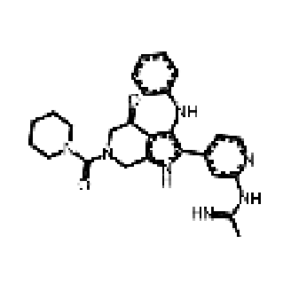 CC(=N)Nc1cc(-c2[nH]c3c(c2Nc2ccccc2)C(=O)CN(C(=O)N2CCCCC2)C3)ccn1